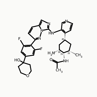 CC(=O)N[C@@H]1[C@H](N)C[C@H](c2ccncc2Nc2ncc3ccc(-c4c(F)cc(C5(O)CCOCC5)cc4F)nn23)C[C@@H]1C